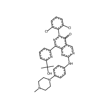 CN1CCN(c2ccc(Nc3ncc4c(=O)n(-c5c(Cl)cccc5Cl)nc(-c5cccc(C(C)(C)O)n5)c4n3)cc2)CC1